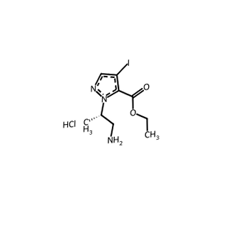 CCOC(=O)c1c(I)cnn1[C@@H](C)CN.Cl